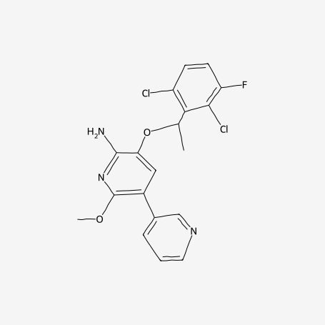 COc1nc(N)c(OC(C)c2c(Cl)ccc(F)c2Cl)cc1-c1cccnc1